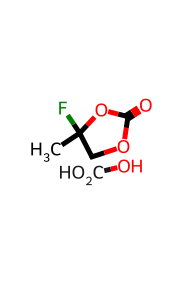 CC1(F)COC(=O)O1.O=C(O)O